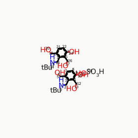 CC(C)(C)NCc1c(CO)ccc(O)c1CO.CC(C)(C)NCc1c(CO)ccc(O)c1CO.O=S(=O)(O)O